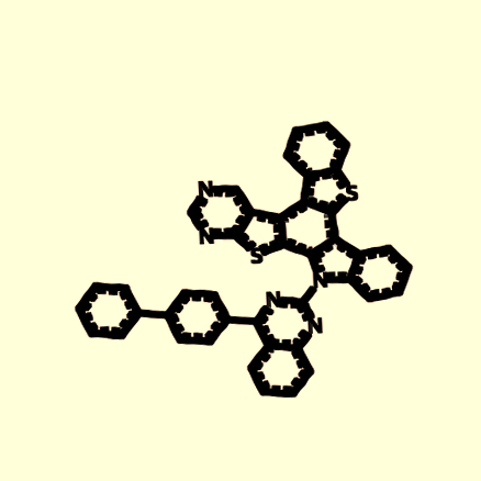 c1ccc(-c2ccc(-c3nc(-n4c5ccccc5c5c6sc7ccccc7c6c6c7cncnc7sc6c54)nc4ccccc34)cc2)cc1